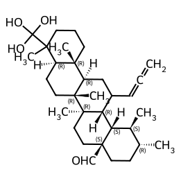 C=C=CC1C[C@@H]2[C@@]3(C)CCCC(C)(C(O)(O)O)[C@@H]3CC[C@@]2(C)[C@]2(C)CC[C@@]3(C=O)CC[C@@H](C)[C@H](C)[C@H]3[C@@H]12